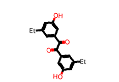 CCc1cc(O)cc(C(=O)C(=O)c2cc(O)cc(CC)c2)c1